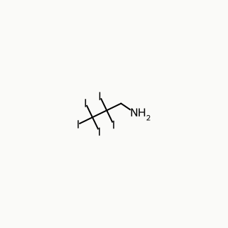 NCC(I)(I)C(I)(I)I